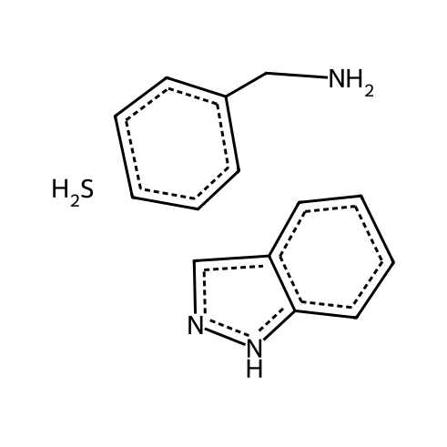 NCc1ccccc1.S.c1ccc2[nH]ncc2c1